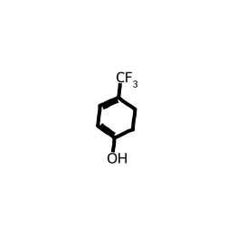 OC1=CC=C(C(F)(F)F)CC1